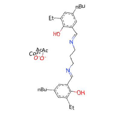 CC(=O)[O-].CC(=O)[O-].CCCCc1cc(C=NCCCN=Cc2cc(CCCC)cc(CC)c2O)c(O)c(CC)c1.[Co+2]